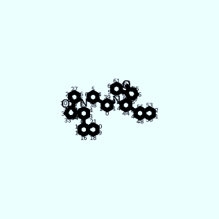 c1cc(-c2cccc(N(c3ccc(-c4cccc5ccccc45)cc3)c3cccc4oc5ccccc5c34)c2)cc(N(c2ccc(-c3ccc4ccccc4c3)cc2)c2cccc3oc4ccccc4c23)c1